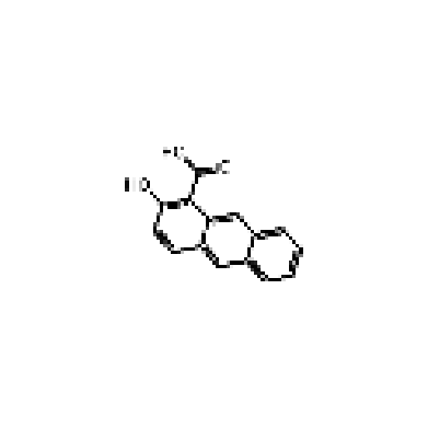 O=C(O)c1c(O)ccc2cc3ccccc3cc12